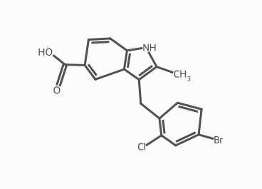 Cc1[nH]c2ccc(C(=O)O)cc2c1Cc1ccc(Br)cc1Cl